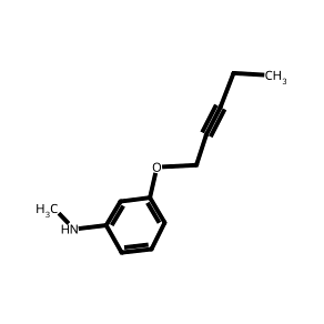 CCC#CCOc1cccc(NC)c1